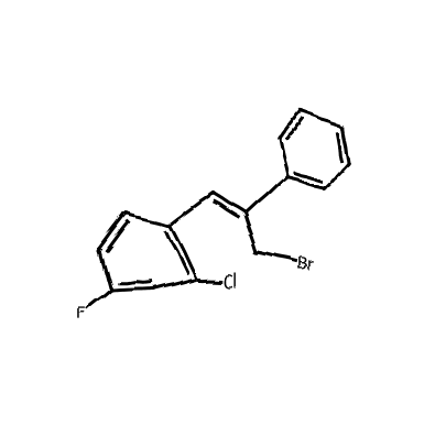 Fc1ccc(C=C(CBr)c2ccccc2)c(Cl)c1